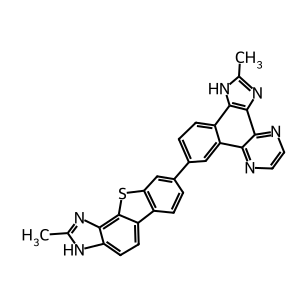 Cc1nc2c(ccc3c4ccc(-c5ccc6c(c5)c5nccnc5c5nc(C)[nH]c65)cc4sc32)[nH]1